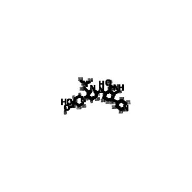 COCC1(O)CCN(c2ccc(Nc3ccc(-c4ccncc4)c4c3C(=O)NC4)nc2CN(C)C)CC1